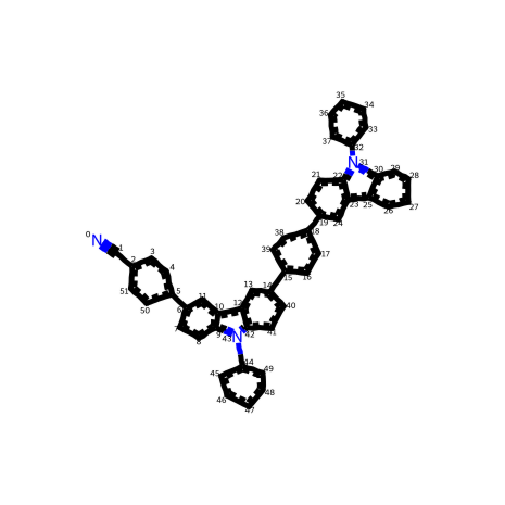 N#Cc1ccc(-c2ccc3c(c2)c2cc(-c4ccc(-c5ccc6c(c5)c5ccccc5n6-c5ccccc5)cc4)ccc2n3-c2ccccc2)cc1